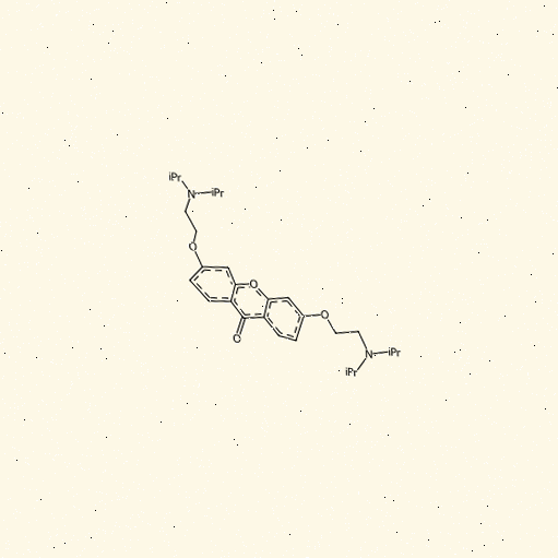 CC(C)N(CCOc1ccc2c(=O)c3ccc(OCCN(C(C)C)C(C)C)cc3oc2c1)C(C)C